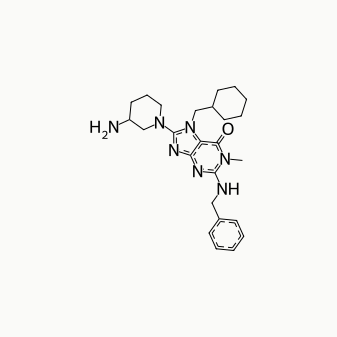 Cn1c(NCc2ccccc2)nc2nc(N3CCCC(N)C3)n(CC3CCCCC3)c2c1=O